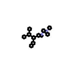 c1ccc(-c2cc(-c3ccccc3)cc(-c3cc(-c4ccc5ccccc5c4)cc(-c4ccc5c(ccn5-c5cccc6c5c5ccccc5n6-c5ccccc5)c4)c3)c2)cc1